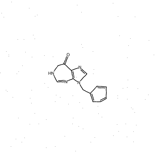 O=C1CNC=Nc2c1ncn2Cc1ccccc1